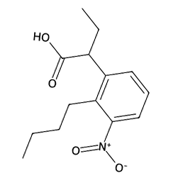 CCCCc1c(C(CC)C(=O)O)cccc1[N+](=O)[O-]